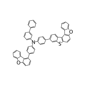 c1ccc(-c2cccc(N(c3ccc(-c4ccc5c(c4)sc4ccc6oc7ccccc7c6c45)cc3)c3ccc(-c4cccc5oc6ccccc6c45)cc3)c2)cc1